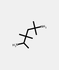 CC(N)C(C)(C)CC(C)(C)N